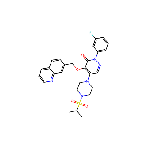 CC(C)S(=O)(=O)N1CCN(c2cnn(-c3cccc(F)c3)c(=O)c2OCc2ccc3cccnc3c2)CC1